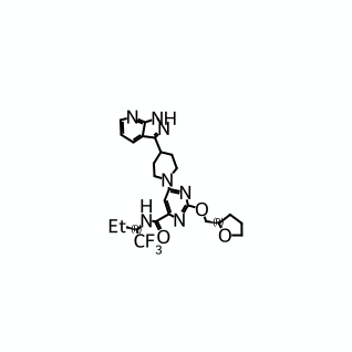 CC[C@@H](NC(=O)c1cc(N2CCC(c3n[nH]c4ncccc34)CC2)nc(OC[C@H]2CCCO2)n1)C(F)(F)F